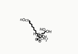 CCCCCCCCC=CCCCCCCCCC(C)(P(=O)=O)[N+](C)(C)CCC(O)O